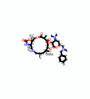 CC[C@@H]1OC(=O)C(C)C(=O)[C@H](C)[C@@H](O[C@@H]2O[C@H](CN(C)Cc3ccc(F)cc3)CC(N(C)C)C2O)[C@](C)(OC)C[C@@H](C)CN[C@H](C)[C@H]2NC(=O)O[C@]12C